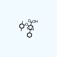 Cc1ccc(C)c(Oc2nc(-c3ccccc3)ncc2C(=O)O)c1